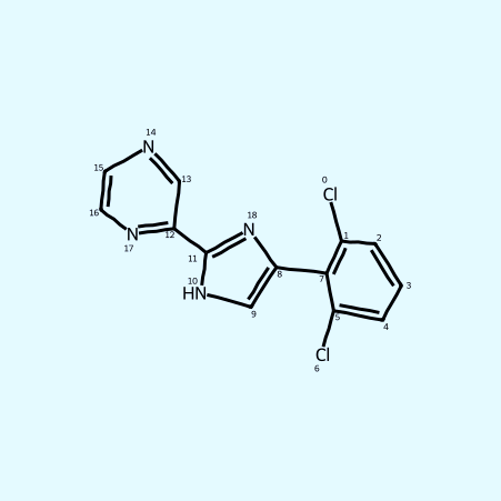 Clc1cccc(Cl)c1-c1c[nH]c(-c2cnccn2)n1